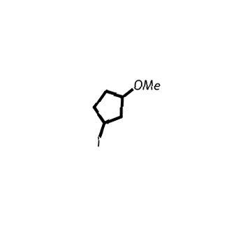 COC1CCC(I)C1